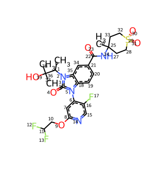 CC(n1c(=O)n(-c2cc(OCC(F)F)ncc2F)c2ccc(C(=O)NC3(C)CCS(=O)(=O)CC3)cc21)C(C)(C)O